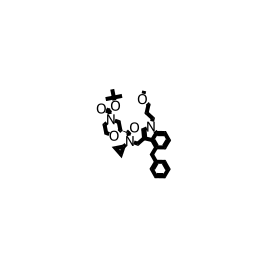 COCCCn1cc(CN(C(=O)[C@H]2CN(C(=O)OC(C)(C)C)CCO2)C2CC2)c2c(Cc3ccccc3)cccc21